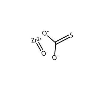 [O-]C([O-])=S.[O]=[Zr+2]